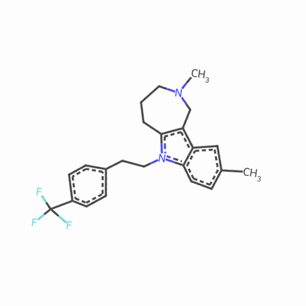 Cc1ccc2c(c1)c1c(n2CCc2ccc(C(F)(F)F)cc2)CCCN(C)C1